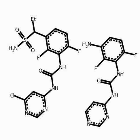 CCC(c1ccc(F)c(NC(=O)Nc2cc(Cl)ncn2)c1F)S(N)(=O)=O.Nc1ccc(F)c(NC(=O)Nc2ccncn2)c1F